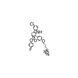 O=C(Oc1ccc(F)cc1)N1CCc2c([nH]c3ccc(Cl)cc23)C1c1ccc(OCCCCn2cncn2)cc1